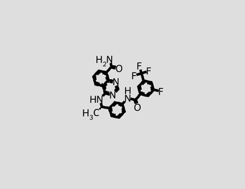 C[C@@H](Nc1ncnc2c(C(N)=O)cccc12)c1cccc(NC(=O)c2cc(F)cc(C(F)(F)F)c2)c1